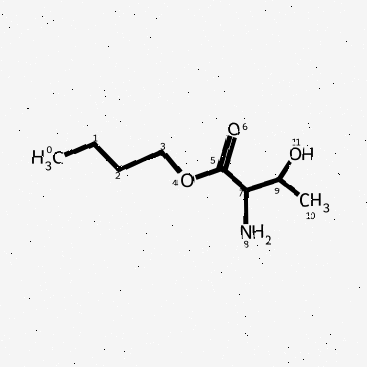 CCCCOC(=O)C(N)C(C)O